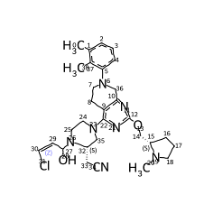 Cc1cccc(N2CCc3c(nc(OC[C@@H]4CCCN4C)nc3N3CCN(C(O)/C=C\Cl)[C@@H](CC#N)C3)C2)c1C